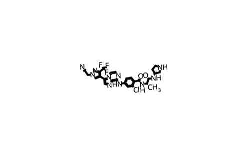 CC(NC(=O)c1ccc(Nc2nccn3c(-c4cn(CC#N)nc4C(F)(F)F)cnc23)cc1Cl)C(=O)N[C@H]1CCNC1